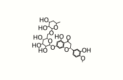 COc1ccc([C@@H]2CC(=O)c3c(O)cc(O[C@@H]4OC(CO[C@@H]5OC(C)CC(O)[C@@H]5O)[C@@H](O)C(O)C4O)cc3O2)cc1O